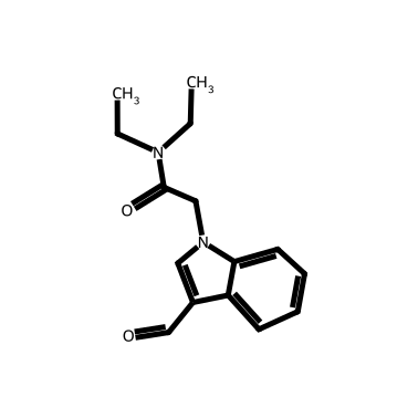 CCN(CC)C(=O)Cn1cc(C=O)c2ccccc21